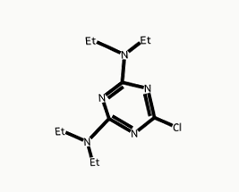 CCN(CC)c1nc(Cl)nc(N(CC)CC)n1